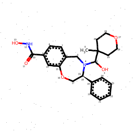 CC1(C(O)N2Cc3ccc(C(=O)NO)cc3OC[C@@H]2c2ccccc2)CCOCC1